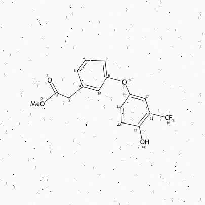 COC(=O)Cc1cccc(Oc2ccc(O)c(C(F)(F)F)c2)c1